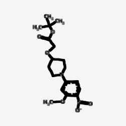 COc1cc(N2CCC(OCC(=O)OC(C)(C)C)CC2)ccc1[N+](=O)[O-]